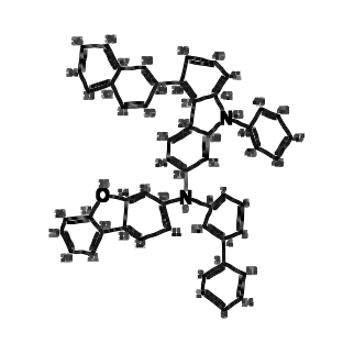 c1ccc(-c2cccc(N(c3ccc4c(c3)oc3ccccc34)c3ccc4c5c(-c6ccc7ccccc7c6)cccc5n(-c5ccccc5)c4c3)c2)cc1